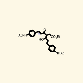 CCOC(=O)CC(C(=O)/C=C/c1ccc(NC(C)=O)cc1)=C(O)C=Cc1ccc(NC(C)=O)cc1